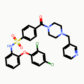 O=C(c1ccc(S(=O)(=O)Nc2ccccc2Oc2ccc(Cl)cc2Cl)cc1)N1CCN(Cc2cccnc2)CC1